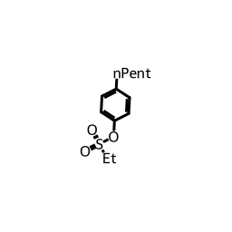 CCCCCc1ccc(OS(=O)(=O)CC)cc1